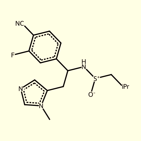 CC(C)C[S+]([O-])NC(Cc1cncn1C)c1ccc(C#N)c(F)c1